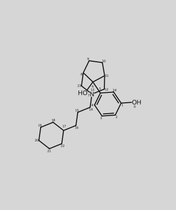 Oc1cccc(C2(O)C3CCC2CN(CCCC2CCCCC2)C3)c1